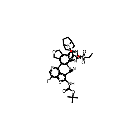 CCS(=O)(=O)c1nc(N2C3CCC2CN(C(=O)O)C3)c2c3c(c(-c4ncc(F)c5sc(NC(=O)OC(C)(C)C)c(C#N)c45)c(F)c2n1)COC3